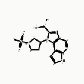 C[C@@H](O)c1nc2cnc3[nH]ccc3c2n1C1CCN(S(C)(=O)=O)C1